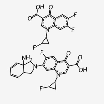 NC12C=CC=CC1CN(c1cc3c(cc1F)c(=O)c(C(=O)O)cn3C1CC1F)C2.O=C(O)c1cn(C2CC2F)c2cc(F)c(F)cc2c1=O